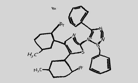 CC1CCC(C(C)C)C(c2nc(-[n+]3c(-c4ccccc4)nnn3-c3ccccc3)sc2C2CC(C)CCC2C(C)C)C1.[Br-]